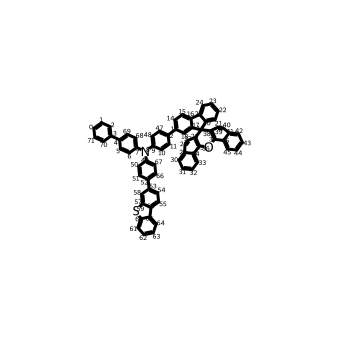 c1ccc(-c2ccc(N(c3ccc(-c4ccc5c(c4)C4(c6ccccc6-5)c5ccc6ccccc6c5Oc5c4ccc4ccccc54)cc3)c3ccc(-c4ccc5c(c4)sc4ccccc45)cc3)cc2)cc1